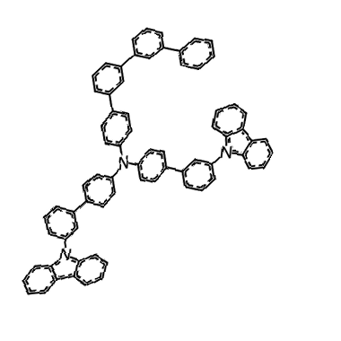 c1ccc(-c2cccc(-c3cccc(-c4ccc(N(c5ccc(-c6cccc(-n7c8ccccc8c8ccccc87)c6)cc5)c5ccc(-c6cccc(-n7c8ccccc8c8ccccc87)c6)cc5)cc4)c3)c2)cc1